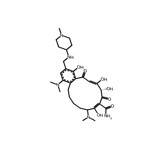 CN1CCC(NCc2cc(N(C)C)c3c(c2O)C(=O)/C=C(\O)[C@H](O)C(=O)/C(C(N)=O)=C(/O)C(N(C)C)CCCC3)CC1